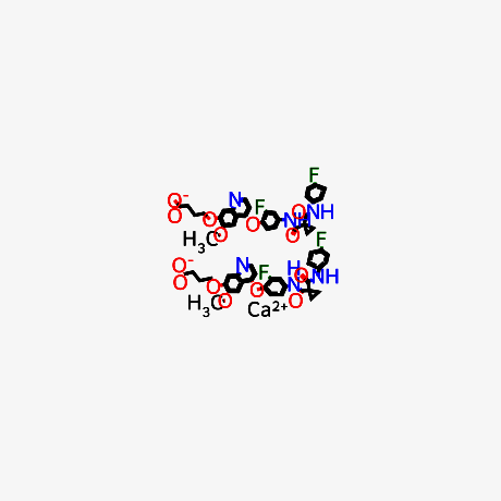 COc1cc2c(Oc3ccc(NC(=O)C4(C(=O)Nc5ccc(F)cc5)CC4)cc3F)ccnc2cc1OCCCC(=O)[O-].COc1cc2c(Oc3ccc(NC(=O)C4(C(=O)Nc5ccc(F)cc5)CC4)cc3F)ccnc2cc1OCCCC(=O)[O-].[Ca+2]